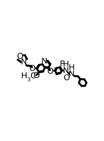 COc1cc2c(Oc3ccc(NC(=O)NCCC4CCCCC4)c(F)c3)ccnc2cc1OCCN1CCOCC1